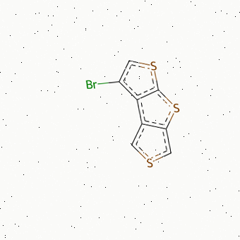 Brc1csc2sc3cscc3c12